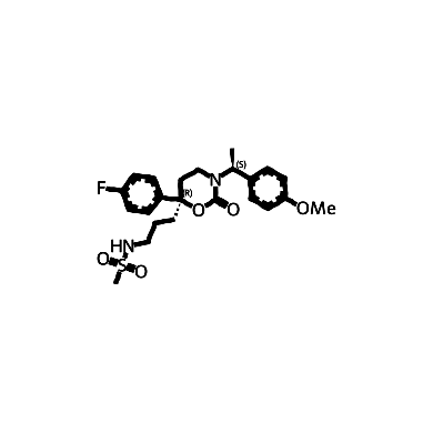 COc1ccc([C@H](C)N2CC[C@](CCCNS(C)(=O)=O)(c3ccc(F)cc3)OC2=O)cc1